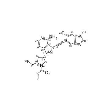 C=CC(=O)N1C[C@@H](n2nc(C#Cc3cc4ncn(C)c4cc3F)c3c(N)nccc32)C[C@@H]1CF